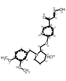 COc1ccc(CN2CCCCC2COc2ccc(C(=O)/C=N/O)cn2)cc1OC.Cl